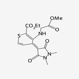 CCOC(=O)C1=C(NCC(=O)OC)C(=C2C(=O)N(C)N(C)C2=O)C=CS1